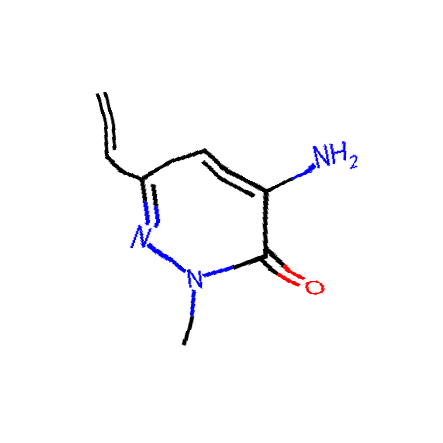 C=Cc1cc(N)c(=O)n(C)n1